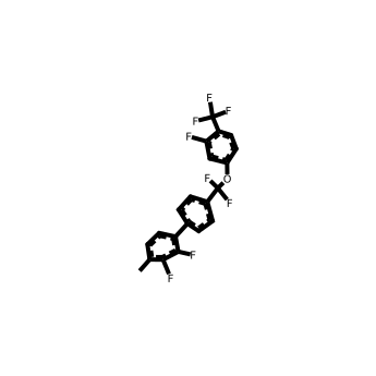 Cc1ccc(-c2ccc(C(F)(F)Oc3ccc(C(F)(F)F)c(F)c3)cc2)c(F)c1F